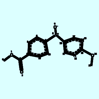 COC(=O)c1ccc([S+]([O-])c2cnc(OC)nc2)cc1